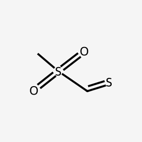 CS(=O)(=O)C=S